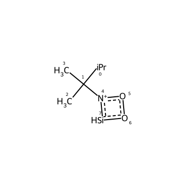 CC(C)C(C)(C)[n+]1oo[siH]1